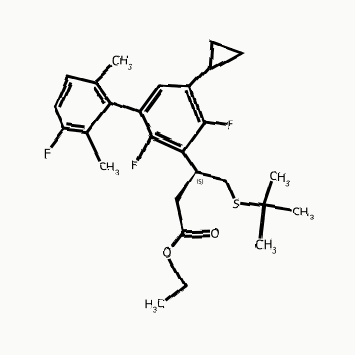 CCOC(=O)C[C@H](CSC(C)(C)C)c1c(F)c(-c2c(C)ccc(F)c2C)cc(C2CC2)c1F